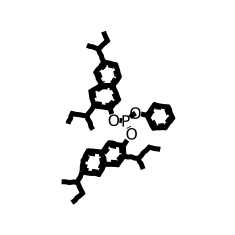 CCC(C)c1ccc2cc(OP(Oc3ccccc3)Oc3cc4ccc(C(C)CC)cc4cc3C(C)CC)c(C(C)CC)cc2c1